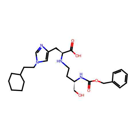 O=C(N[C@H](CO)CCN[C@@H](Cc1cn(CCC2CCCCC2)cn1)C(=O)O)OCc1ccccc1